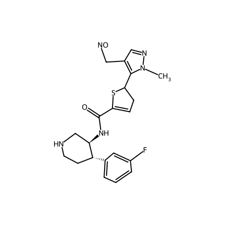 Cn1ncc(CN=O)c1C1CC=C(C(=O)N[C@@H]2CNCC[C@H]2c2cccc(F)c2)S1